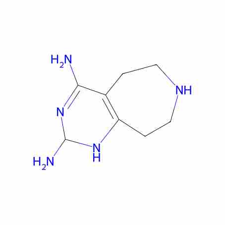 NC1=NC(N)NC2=C1CCNCC2